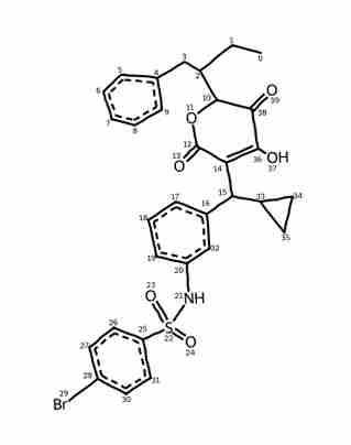 CCC(Cc1ccccc1)C1OC(=O)C(C(c2cccc(NS(=O)(=O)c3ccc(Br)cc3)c2)C2CC2)=C(O)C1=O